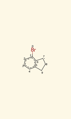 Brc1cccc2c1[CH]CC2